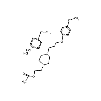 CCc1ccccc1.COc1ccc(OCCCN2CCN(CCOC(C)=O)CC2)cc1.Cl.Cl